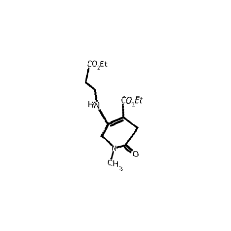 CCOC(=O)CCNC1=C(C(=O)OCC)CC(=O)N(C)C1